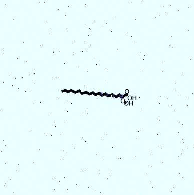 CCCCCCCCCCC/C=C/C=C/C=C/C=C(\OO)C(=O)O